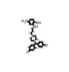 Cc1ccc(O)c(NCCCN2CCN(C(c3ccc(Cl)cc3)c3ccc(Cl)cc3)CC2)c1